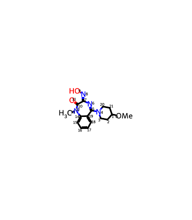 COC1CCN(c2n/c(=N/O)c(=O)n(C)c3ccccc23)CC1